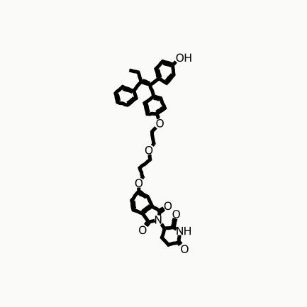 CCC(=C(c1ccc(O)cc1)c1ccc(OCCOCCCOc2ccc3c(c2)C(=O)N(C2CCC(=O)NC2=O)C3=O)cc1)c1ccccc1